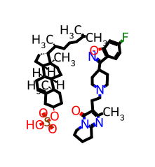 CC(C)CCC[C@@H](C)[C@H]1CC[C@H]2[C@@H]3CC=C4C[C@@H](OS(=O)(=O)O)CC[C@]4(C)[C@H]3CC[C@]12C.Cc1nc2n(c(=O)c1CCN1CCC(c3noc4cc(F)ccc34)CC1)CCCC2